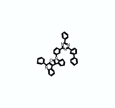 c1ccc(-c2cccc(-c3nc(-c4ccccc4)nc(-c4cccc(-n5c6ccccc6c6c7c(oc65)c(-c5ccccc5)nc5ccccc57)c4)n3)c2)cc1